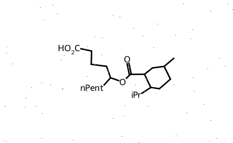 CCCCCC(CCCC(=O)O)OC(=O)C1CC(C)CCC1C(C)C